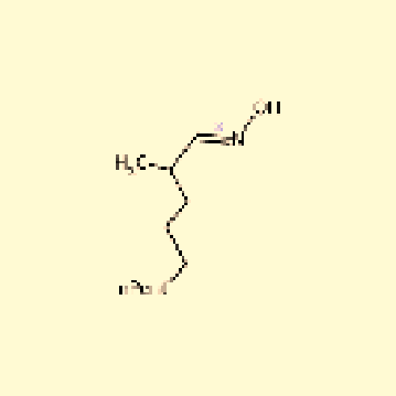 CCCCCCCCC(C)/C=N/O